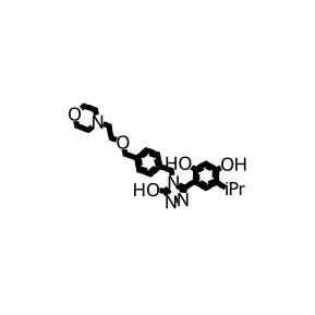 CC(C)c1cc(-c2nnc(O)n2Cc2ccc(COCCN3CCOCC3)cc2)c(O)cc1O